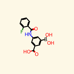 O=C(O)c1cc(NC(=O)c2ccccc2F)cc(B(O)O)c1